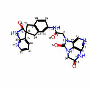 O=C(Cn1c(=O)n2c3c(cncc31)NC(=O)C2)Nc1ccc2c(c1)CC1(C2)C(=O)Nc2ncccc21